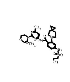 Cc1cc(NC(=O)c2ccc(NS(=O)(=O)CCO)cc2N2CCC3(CC2)CC3)nc(N2CCOC[C@@H]2C)n1